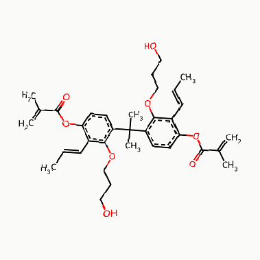 C=C(C)C(=O)Oc1ccc(C(C)(C)c2ccc(OC(=O)C(=C)C)c(C=CC)c2OCCCO)c(OCCCO)c1C=CC